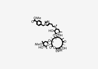 CC[C@H]1OC(=O)[C@H](C)[C@@H](O[C@H]2C[C@@](C)(OC)[C@@H](O)[C@H](C)O2)[C@H](C)[C@@H](O[C@@H]2O[C@H](C)C[C@H](N(C)CCc3cn(Cc4ccc(C(=O)OC)cc4)nn3)[C@H]2O)[C@](C)(O)C[C@@H](C)C(=O)[C@H](C)[C@@H](O)[C@]1(C)O